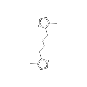 Cc1ccoc1CSSCc1occc1C